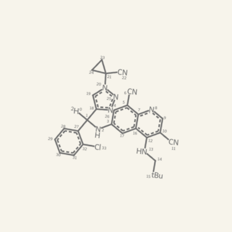 [2H]C(Nc1cc(C#N)c2ncc(C#N)c(NCC(C)(C)C)c2c1)(c1cn(C2(C#N)CC2)nn1)c1ccccc1Cl